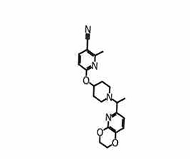 Cc1nc(OC2CCN(C(C)c3ccc4c(n3)OCCO4)CC2)ccc1C#N